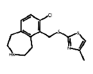 Cc1csc(SCc2c(Cl)ccc3c2CCNCC3)n1